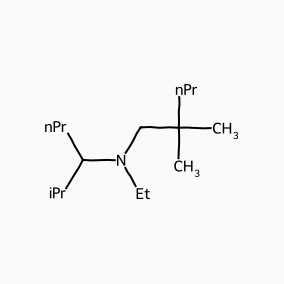 CCCC(C(C)C)N(CC)CC(C)(C)CCC